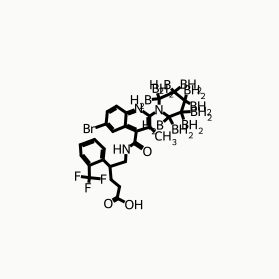 BC1(B)N(c2nc3ccc(Br)cc3c(C(=O)NCC(CCC(=O)O)c3ccccc3C(F)(F)F)c2C)C(B)(B)C(B)(B)C(B)(B)C1(B)B